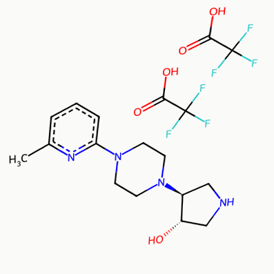 Cc1cccc(N2CCN([C@H]3CNC[C@@H]3O)CC2)n1.O=C(O)C(F)(F)F.O=C(O)C(F)(F)F